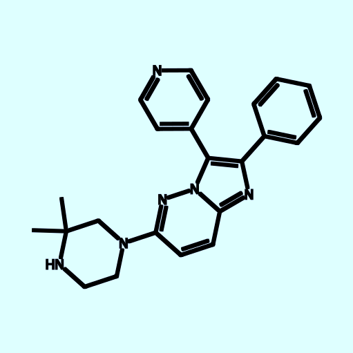 CC1(C)CN(c2ccc3nc(-c4ccccc4)c(-c4ccncc4)n3n2)CCN1